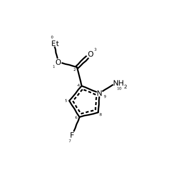 CCOC(=O)c1cc(F)cn1N